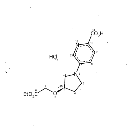 CCOC(=O)CO[C@@H]1CCN(c2ccc(C(=O)O)nc2)C1.Cl